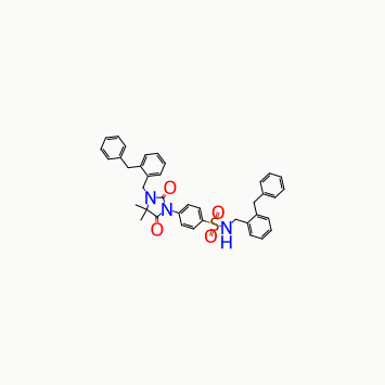 CC1(C)C(=O)N(c2ccc(S(=O)(=O)NCc3ccccc3Cc3ccccc3)cc2)C(=O)N1Cc1ccccc1Cc1ccccc1